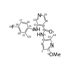 COc1ccc(NC(=O)c2ccncc2Nc2ccc(F)cc2C)c(C)n1